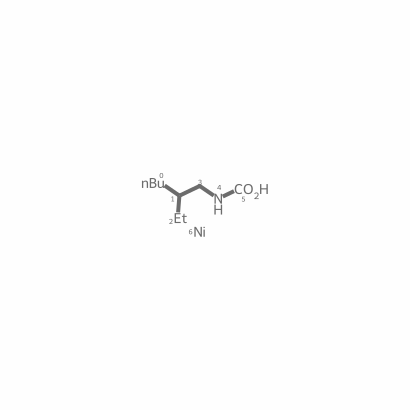 CCCCC(CC)CNC(=O)O.[Ni]